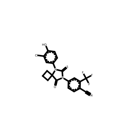 N#Cc1ccc(N2C(=O)C3(CCC3)N(c3ccc(O)c(Cl)c3)C2=S)cc1C(F)(F)F